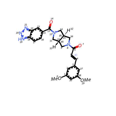 COc1cc(/C=C/C(=O)N2C[C@@H]3CN(C(=O)c4ccc5[nH]nnc5c4)C[C@H]3C2)cc(OC)c1